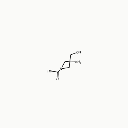 NC1(CO)CN(C(=O)O)C1